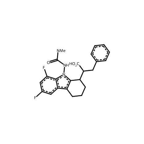 CNC(=O)Nn1c2c(c3cc(F)cc(F)c31)CCCC2C(Cc1ccccc1)C(=O)O